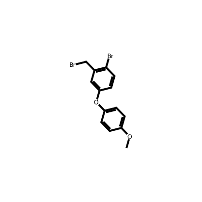 COc1ccc(Oc2ccc(Br)c(CBr)c2)cc1